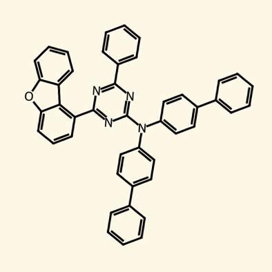 c1ccc(-c2ccc(N(c3ccc(-c4ccccc4)cc3)c3nc(-c4ccccc4)nc(-c4cccc5oc6ccccc6c45)n3)cc2)cc1